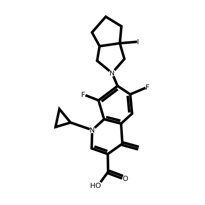 C=C1C(C(=O)O)=CN(C2CC2)c2c1cc(F)c(N1CC3CCCC3(I)C1)c2F